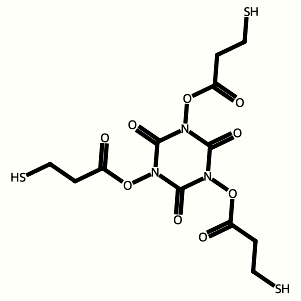 O=C(CCS)On1c(=O)n(OC(=O)CCS)c(=O)n(OC(=O)CCS)c1=O